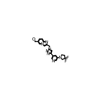 O=Cc1ccc2nc(Cn3cc(-c4cncc(N5CCC(F)(F)C5)c4)nn3)cn2c1